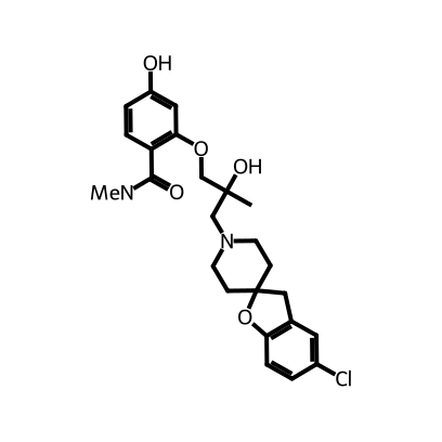 CNC(=O)c1ccc(O)cc1OCC(C)(O)CN1CCC2(CC1)Cc1cc(Cl)ccc1O2